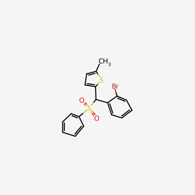 Cc1ccc(C(c2ccccc2Br)S(=O)(=O)c2ccccc2)s1